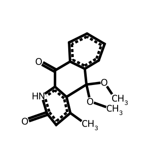 COC1(OC)c2ccccc2C(=O)c2[nH]c(=O)cc(C)c21